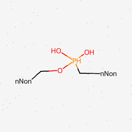 CCCCCCCCCCO[PH](O)(O)CCCCCCCCCC